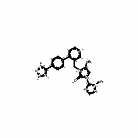 CCCCc1cn(-c2ncnn2C(C)C)c(=O)n1Cc1cnccc1-c1ccc(-c2nnn[nH]2)cc1